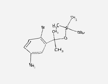 CC(C)(O[Si](C)(C)C(C)(C)C)c1cc(N)ccc1Br